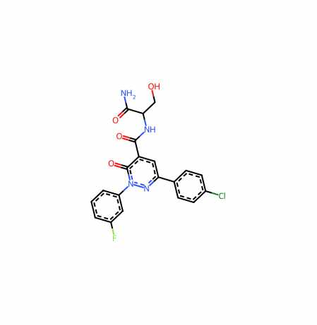 NC(=O)C(CO)NC(=O)c1cc(-c2ccc(Cl)cc2)nn(-c2cccc(F)c2)c1=O